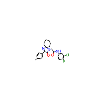 Cc1ccc(C2=NC3(CCCCCC3)N(CC(=O)Nc3ccc(F)c(Cl)c3)C2=O)cc1